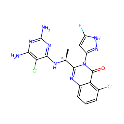 C[C@H](Nc1nc(N)nc(N)c1Cl)c1nc2cccc(Cl)c2c(=O)n1-c1cc(F)[nH]n1